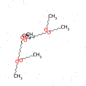 CCCCCCCOC(CCCCCCCC=CC(OC)OC(C=CCCCCCCCC(OCCCCCCC)OCCCCCCC)OC)OCCCCCCC